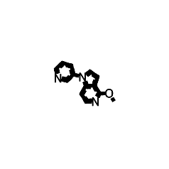 COc1nccc2c1ccn2-c1cccnc1